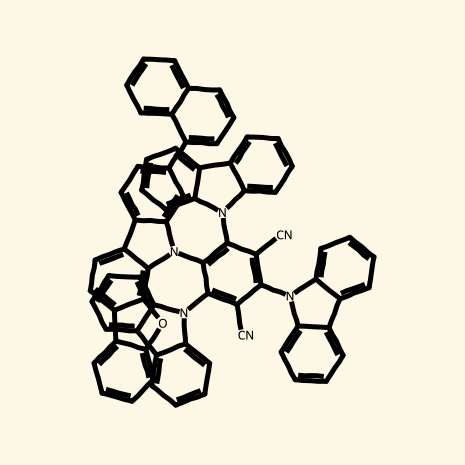 N#Cc1c(-n2c3ccccc3c3ccccc32)c(C#N)c(-n2c3ccccc3c3ccccc32)c(-n2c3cc(-c4cccc5ccccc45)ccc3c3ccc4c5ccccc5oc4c32)c1-n1c2ccccc2c2ccccc21